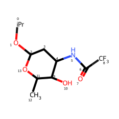 CC(C)OC1CC(NC(=O)C(F)(F)F)C(O)C(C)O1